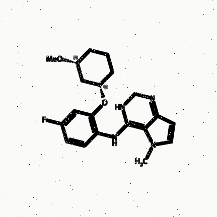 CO[C@@H]1CCC[C@H](Oc2cc(F)ccc2NC2=c3c(ccn3C)=NCN2)C1